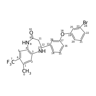 Cc1cc2c(cc1C(F)(F)F)NC(=O)CC(c1cccc(Oc3cccc(Br)c3)c1)N2